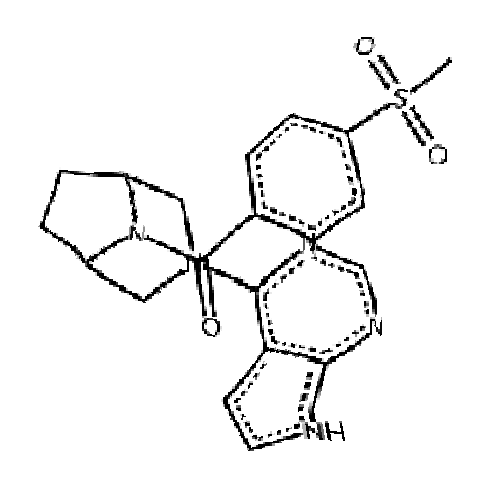 CS(=O)(=O)c1ccc(C(=O)N2C3CCC2CN(c2ncnc4[nH]ccc24)C3)cc1